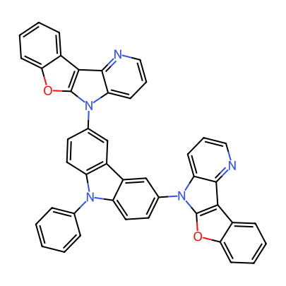 c1ccc(-n2c3ccc(-n4c5cccnc5c5c6ccccc6oc54)cc3c3cc(-n4c5cccnc5c5c6ccccc6oc54)ccc32)cc1